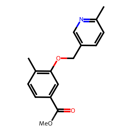 COC(=O)c1ccc(C)c(OCc2ccc(C)nc2)c1